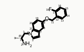 C[C@@H](N)Cn1ccc2cc(OCc3ccccc3F)ccc21